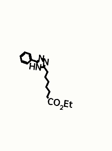 CCOC(=O)CCCCCCc1nnc(-c2ccccc2)[nH]1